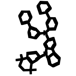 CC1(C)CCC(C)(C)c2cc(-n3c4ccccc4c4ccc(N(c5cccc(-c6ccccc6)c5)c5cccc(-c6ccccc6)c5)cc43)ccc21